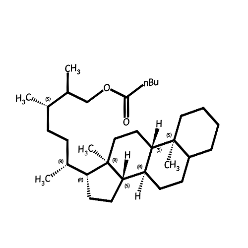 CCCCC(=O)OCC(C)[C@@H](C)CC[C@@H](C)[C@H]1CC[C@H]2[C@@H]3CCC4CCCC[C@]4(C)[C@H]3CC[C@]12C